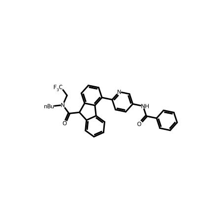 CCCCN(CC(F)(F)F)C(=O)C1c2ccccc2-c2c(-c3ccc(NC(=O)c4ccccc4)cn3)cccc21